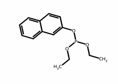 CCOP(OCC)Oc1ccc2ccccc2c1